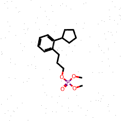 COP(=O)(OC)OCCCc1ccccc1C1CCCC1